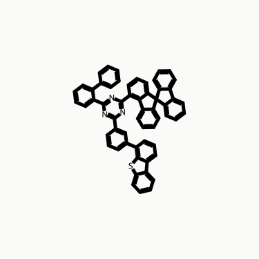 c1ccc(-c2ccccc2-c2nc(-c3cccc(-c4cccc5c4sc4ccccc45)c3)nc(-c3cccc4c3-c3ccccc3C43c4ccccc4-c4ccccc43)n2)cc1